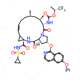 CC(C)Oc1ccc2c(O[C@@H]3C[C@H]4C(=O)N[C@]5(C(=O)NS(=O)(=O)C6CC6)CC5/C=C\CC[C@@H](C)C[C@@H](C)[C@H](NC(=O)O[C@H](C)C(F)(F)F)C(=O)N4C3)nccc2c1